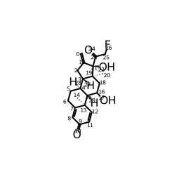 C=C1C[C@H]2[C@@H]3CCC4=CC(=O)C=C[C@]4(C)[C@H]3C(O)C[C@]2(C)[C@@]1(O)C(=O)CF